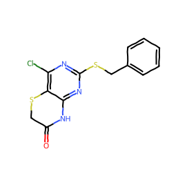 O=C1CSc2c(Cl)nc(SCc3ccccc3)nc2N1